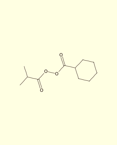 CC(C)C(=O)OOC(=O)C1CCCCC1